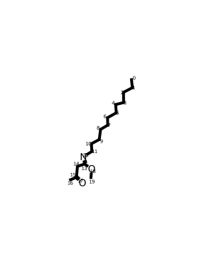 CCCCCCCCCCCCN=C(CC(C)=O)OC